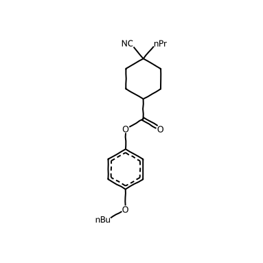 CCCCOc1ccc(OC(=O)C2CCC(C#N)(CCC)CC2)cc1